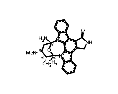 CN[C@@H]1C[C@@]2(N)O[C@@](C)([C@@H]1C)n1c3ccccc3c3c4c(c5c6ccccc6n2c5c31)C(=O)NC4